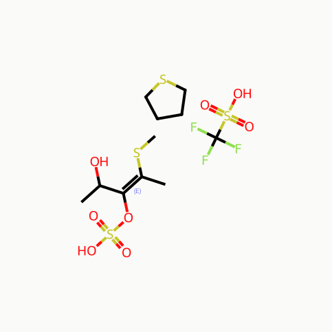 C1CCSC1.CS/C(C)=C(/OS(=O)(=O)O)C(C)O.O=S(=O)(O)C(F)(F)F